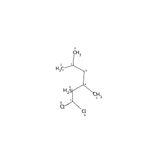 CC(C)[CH]C(C)[SiH2]C(Cl)Cl